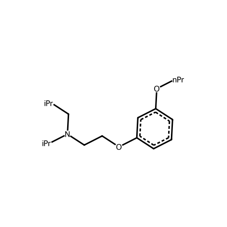 CCCOc1cccc(OCCN(CC(C)C)C(C)C)c1